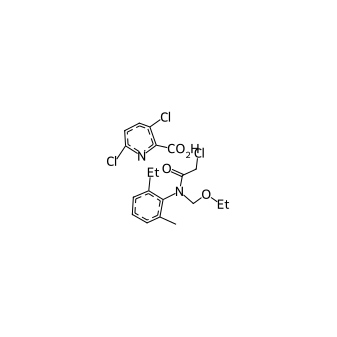 CCOCN(C(=O)CCl)c1c(C)cccc1CC.O=C(O)c1nc(Cl)ccc1Cl